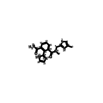 Cc1csc(CN(C)C(=O)c2cccc(C(N)=O)c2-c2ncc[nH]2)n1